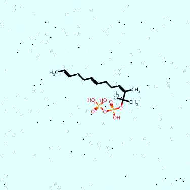 CC=CCCC=CCCC=C(C)C(C)(C)OP(=O)(O)OP(=O)(O)O